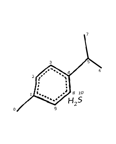 Cc1ccc(C(C)C)cc1.S